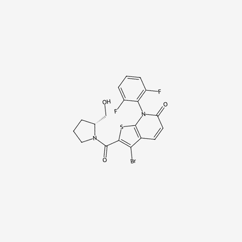 O=C(c1sc2c(ccc(=O)n2-c2c(F)cccc2F)c1Br)N1CCC[C@@H]1CO